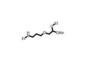 CCNCCCOCC(OC)OCC